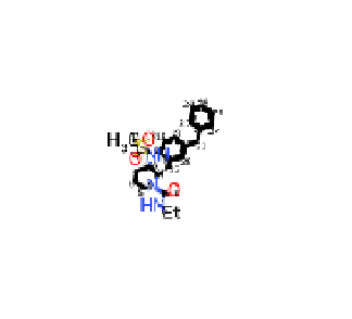 CCNC(=O)N1CCC[C@H](NS(C)(=O)=O)[C@@H]1Cc1cccc(Cc2ccccc2)c1